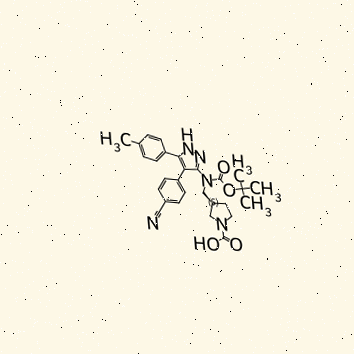 Cc1ccc(-c2[nH]nc(N(C[C@H]3CCN(C(=O)O)C3)C(=O)OC(C)(C)C)c2-c2ccc(C#N)cc2)cc1